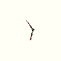 CCCCCCCCCCCCCCCCCC=CC1=C(C=CCCCCCCCCCCCCCCCCC)[N]C=C1